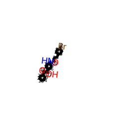 O=C(C=Cc1ccc(Br)cc1)Nc1ccc(C(O)C(=O)c2ccccc2)cc1